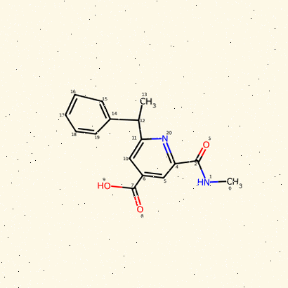 CNC(=O)c1cc(C(=O)O)cc(C(C)c2ccccc2)n1